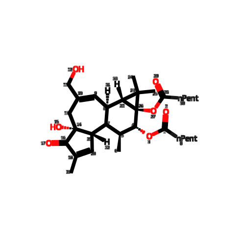 CCCCCC(=O)O[C@@H]1[C@@H](C)C2[C@@H](C=C(CO)C[C@]3(O)C(=O)C(C)=C[C@@H]23)[C@@H]2C(C)(C)[C@]12OC(=O)CCCCC